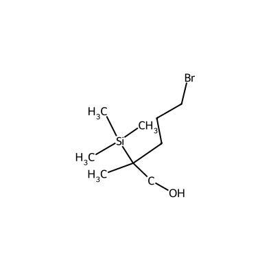 CC(CO)(CCCBr)[Si](C)(C)C